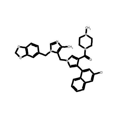 Cc1ncn(Cc2ccc3c(c2)OCO3)c1Cn1cc(C(=O)N2CCN(C)CC2)c(-c2cc(Cl)cc3ccccc23)c1